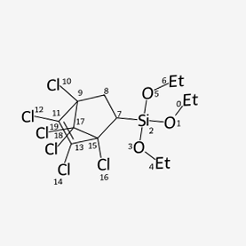 CCO[Si](OCC)(OCC)C1CC2(Cl)C(Cl)=C(Cl)C1(Cl)C2(Cl)Cl